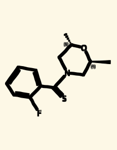 C[C@H]1CN(C(=S)c2ccccc2F)C[C@H](C)O1